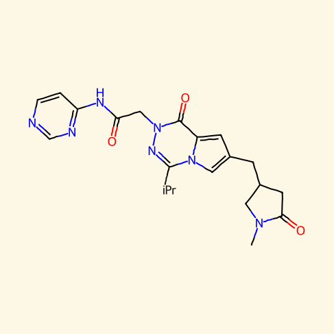 CC(C)c1nn(CC(=O)Nc2ccncn2)c(=O)c2cc(CC3CC(=O)N(C)C3)cn12